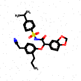 CCCc1cc(CC#N)ccc1OC(C(=O)NS(=O)(=O)c1ccc(C(C)C)cc1)c1ccc2c(c1)OCO2